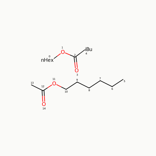 CCCCCCOC(=O)C(C)CC.CCCCCCOC(C)=O